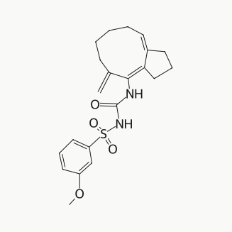 C=C1CCCC/C=C2/CCC/C2=C/1NC(=O)NS(=O)(=O)c1cccc(OC)c1